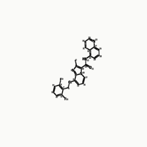 Cc1nc2c(OCc3c(F)cccc3F)cccn2c1C(=O)Nc1cccc2ncccc12